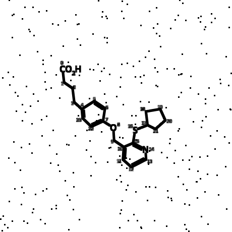 O=C(O)CCCc1ccc(OCc2cccnc2SC2CCCC2)cc1